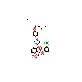 COc1ccc(N2CCN(C(=O)c3cccc4c3C(S(=O)(=O)c3ccccc3)CS4(=O)=O)CC2)cc1.Cl